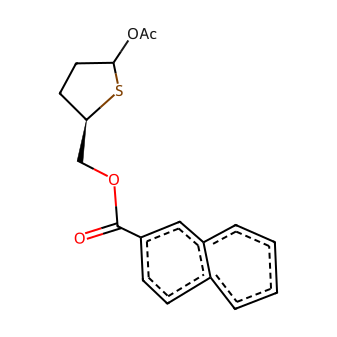 CC(=O)OC1CC[C@H](COC(=O)c2ccc3ccccc3c2)S1